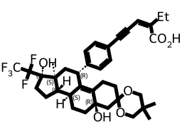 CCC(=CC#Cc1ccc([C@H]2C[C@@]3(C)[C@@H](CC[C@@]3(O)C(F)(F)C(F)(F)F)[C@@H]3CC[C@@]4(O)CC5(CCC4=C32)OCC(C)(C)CO5)cc1)C(=O)O